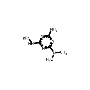 CCCNc1nc(N)nc(N(C)C)n1